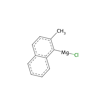 Cc1ccc2ccccc2[c]1[Mg][Cl]